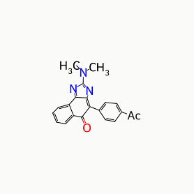 CC(=O)c1ccc(C2=C3N=C(N(C)C)N=C3c3ccccc3C2=O)cc1